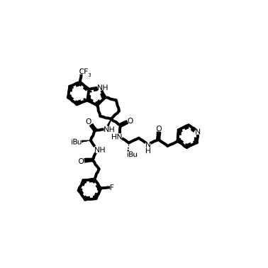 CCC(C)[C@H](NC(=O)Cc1ccccc1F)C(=O)N[C@]1(C(=O)N[C@H](CNC(=O)Cc2ccncc2)C(C)CC)CCc2[nH]c3c(C(F)(F)F)cccc3c2C1